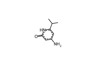 CC(C)c1cc(N)cc(=O)[nH]1